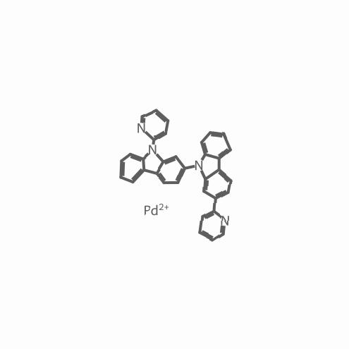 [Pd+2].c1ccc(-c2ccc3c4ccccc4n(-c4ccc5c6ccccc6n(-c6ccccn6)c5c4)c3c2)nc1